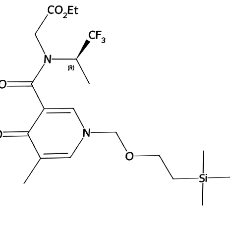 CCOC(=O)CN(C(=O)c1cn(COCC[Si](C)(C)C)cc(C)c1=O)[C@H](C)C(F)(F)F